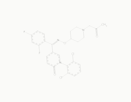 CC(=O)CN1CCC(O/N=C(\c2ccc(=O)n(-c3c(Cl)cccc3Cl)c2)c2ccc(F)cc2F)CC1